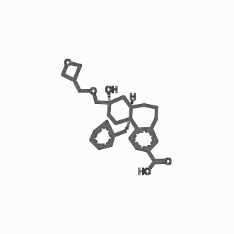 O=C(O)c1ccc2c(c1)CCC[C@@H]1C[C@](O)(COCC3COC3)CC[C@]21Cc1ccccc1